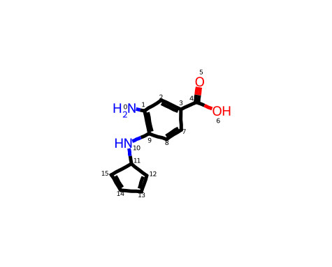 Nc1cc(C(=O)O)ccc1NC1C=CC=C1